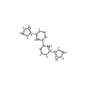 c1cc(-c2cccc(-c3cnco3)n2)nc(-c2cnco2)c1